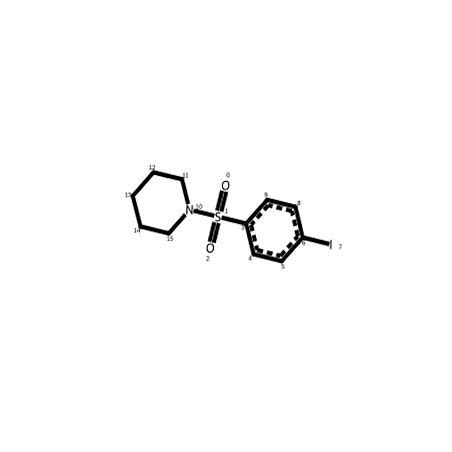 O=S(=O)(c1ccc(I)cc1)N1CCCCC1